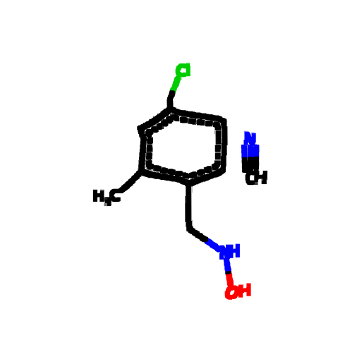 C#N.Cc1cc(Cl)ccc1CNO